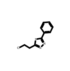 ClCCc1nnc(-c2ccccc2)s1